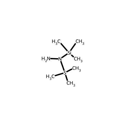 C[Si](C)(C)N(N)S(C)(C)C